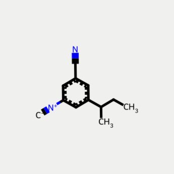 [C-]#[N+]c1cc(C#N)cc(C(C)CC)c1